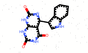 O=c1nc(-c2c[nH]c3ccccc23)c2c(=O)[nH]c(=O)[nH]c2[nH]1